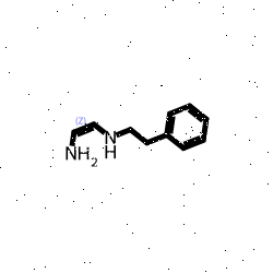 N/C=C\NCCc1ccccc1